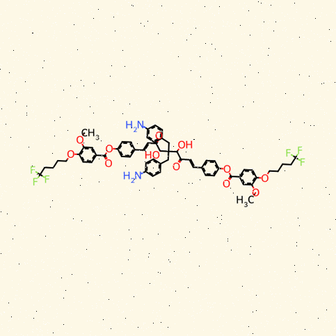 COc1cc(C(=O)Oc2ccc(/C=C/C(=O)C(O)C(Cc3ccc(N)cc3)(Cc3ccc(N)cc3)C(O)C(=O)/C=C/c3ccc(OC(=O)c4ccc(OCCCCC(F)(F)F)c(OC)c4)cc3)cc2)ccc1OCCCCC(F)(F)F